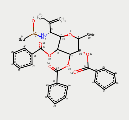 C=C([C@@H](N[S+]([O-])C(C)(C)C)[C@H]1OC(SC)[C@H](OC(=O)c2ccccc2)C(OC(=O)c2ccccc2)C1OC(=O)c1ccccc1)C(F)(F)F